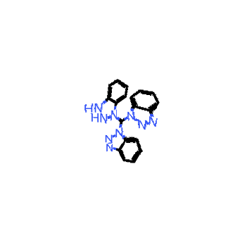 c1ccc2c(c1)NNN2C(n1nnc2ccccc21)n1nnc2ccccc21